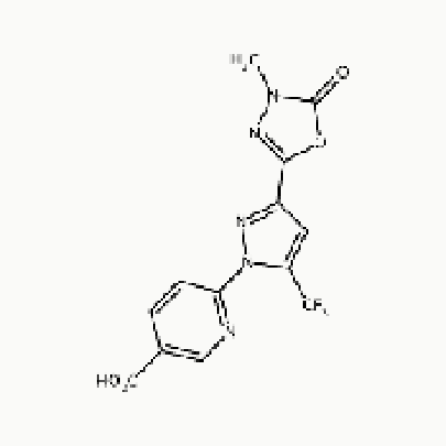 Cn1nc(-c2cc(C(F)(F)F)n(-c3ccc(C(=O)O)cn3)n2)oc1=O